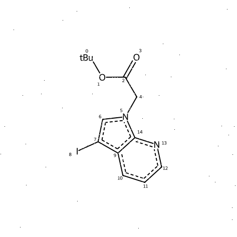 CC(C)(C)OC(=O)Cn1cc(I)c2cccnc21